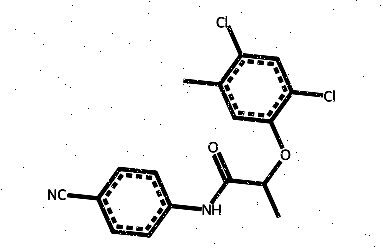 Cc1cc(OC(C)C(=O)Nc2ccc(C#N)cc2)c(Cl)cc1Cl